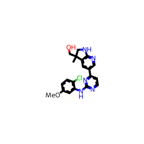 COc1ccc(Cl)c(Nc2nccc(-c3cnc4c(c3)C(C)(CO)CN4)n2)c1